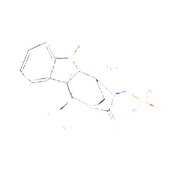 CCOC(=O)[C@H]1c2c(n(C)c3ccccc23)[C@@H]2CN1C(=O)N2OS(=O)(=O)[O-].[Na+]